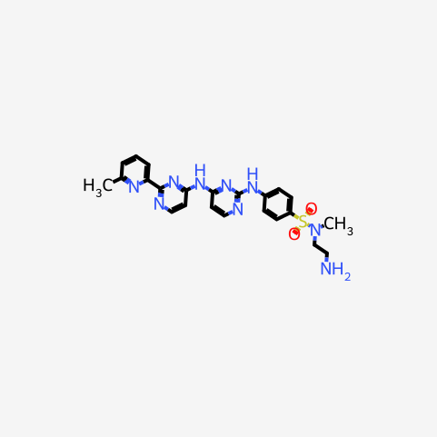 Cc1cccc(-c2nccc(Nc3ccnc(Nc4ccc(S(=O)(=O)N(C)CCN)cc4)n3)n2)n1